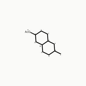 CC(=O)OC1CCC2CC(C)CCC2C1